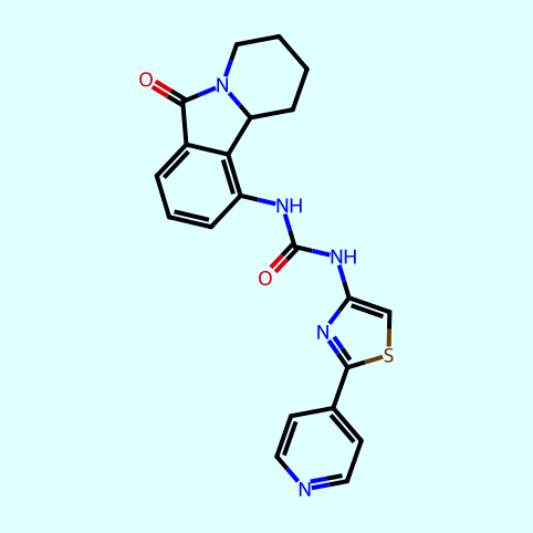 O=C(Nc1csc(-c2ccncc2)n1)Nc1cccc2c1C1CCCCN1C2=O